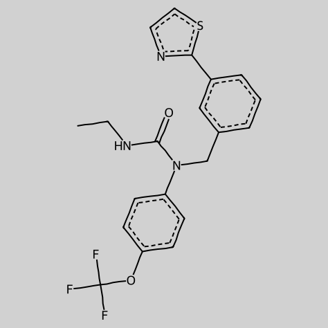 CCNC(=O)N(Cc1cccc(-c2nccs2)c1)c1ccc(OC(F)(F)F)cc1